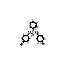 [CH3][Zr]([O]c1ccc(F)cc1)([O]c1ccc(F)cc1)[c]1ccccc1